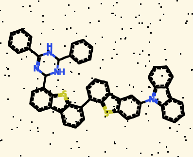 c1ccc(C2=NC(c3cccc4c3sc3c(-c5cccc6c5sc5ccc(-n7c8ccccc8c8ccccc87)cc56)cccc34)NC(c3ccccc3)N2)cc1